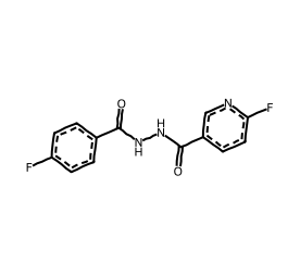 O=C(NNC(=O)c1ccc(F)nc1)c1ccc(F)cc1